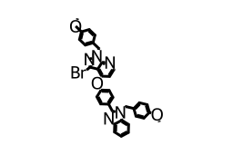 COc1ccc(Cn2nc(Br)c3c(Oc4ccc(-c5nc6ccccc6n5Cc5ccc(OC)cc5)cc4)ccnc32)cc1